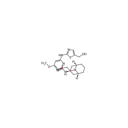 COc1cc(Nc2ncc(CO)s2)nc(N[C@@H]2C[C@H]3CCC[C@@H](C2)N3CCC#N)n1